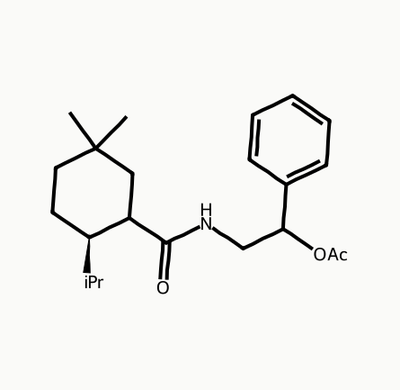 CC(=O)OC(CNC(=O)C1CC(C)(C)CC[C@@H]1C(C)C)c1ccccc1